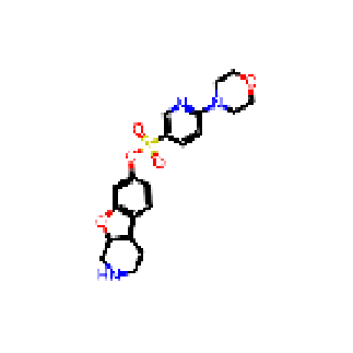 O=S(=O)(Oc1ccc2c(c1)OC1CNCCC21)c1ccc(N2CCOCC2)nc1